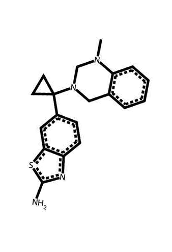 CN1CN(C2(c3ccc4nc(N)sc4c3)CC2)Cc2ccccc21